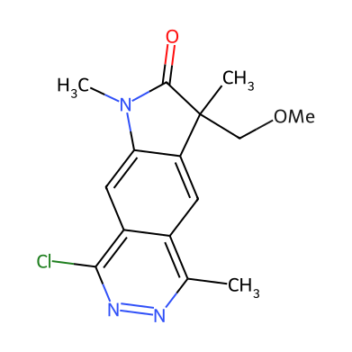 COCC1(C)C(=O)N(C)c2cc3c(Cl)nnc(C)c3cc21